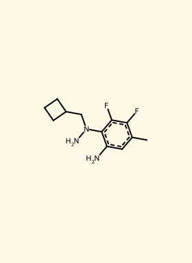 Cc1cc(N)c(N(N)CC2CCC2)c(F)c1F